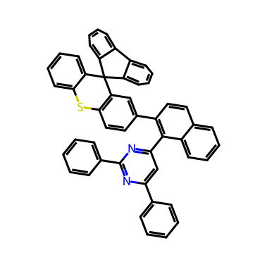 c1ccc(-c2cc(-c3c(-c4ccc5c(c4)C4(c6ccccc6S5)c5ccccc5-c5ccccc54)ccc4ccccc34)nc(-c3ccccc3)n2)cc1